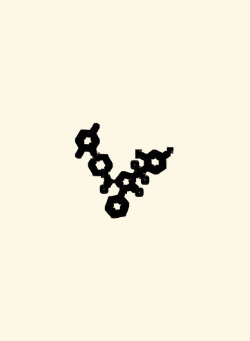 Cc1ccc(C)c(N2CCN(C(=O)[C@@H]3CN(S(=O)(=O)c4ccc(F)cc4F)C(=O)N3c3ccccc3)CC2)c1